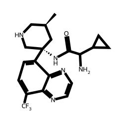 C[C@@H]1CNC[C@](NC(=O)C(N)C2CC2)(c2ccc(C(F)(F)F)c3nccnc23)C1